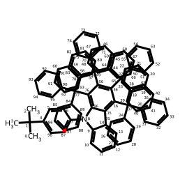 CC(C)(C)c1ccc(-n2c3ccccc3c3c(C(c4ccccc4)(c4ccccc4)c4ccccc4)c(C(c4ccccc4)(c4ccccc4)c4ccccc4)c(C(c4ccccc4)(c4ccccc4)c4ccccc4)c(C(c4ccccc4)(c4ccccc4)c4ccccc4)c32)cc1